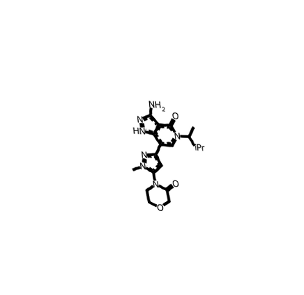 CC(C)C(C)n1cc(-c2cc(N3CCOCC3=O)n(C)n2)c2[nH]nc(N)c2c1=O